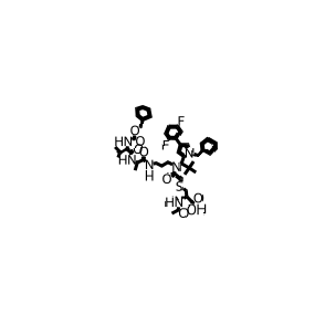 CC(=O)NC(CSCC(=O)N(CCCNC(=O)C(C)NC(=O)C(NC(=O)OCc1ccccc1)C(C)C)C(c1cc(-c2cc(F)ccc2F)cn1Cc1ccccc1)C(C)(C)C)C(=O)O